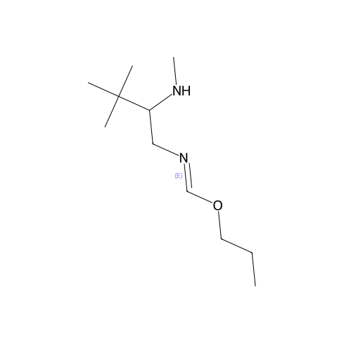 CCCO/C=N/CC(NC)C(C)(C)C